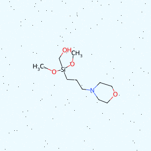 CO[Si](CO)(CCCN1CCOCC1)OC